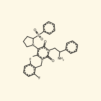 Cc1c(N2CCCC2S(=O)(=O)c2ccccc2)c(=O)n(CC(N)c2ccccc2)c(=O)n1Cc1c(F)cccc1F